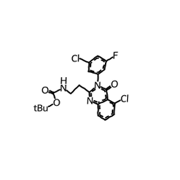 CC(C)(C)OC(=O)NCCc1nc2cccc(Cl)c2c(=O)n1-c1cc(F)cc(Cl)c1